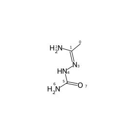 CC(N)=NNC(N)=O